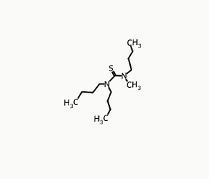 CCCCN(C)C(=S)N(CCCC)CCCC